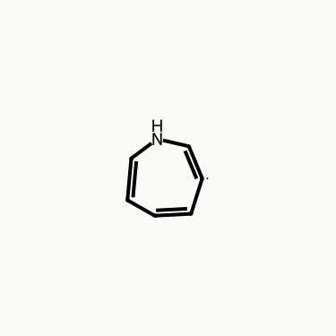 [C]1=CNC=CC=C1